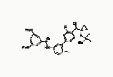 COc1cc(OC)cc(C(=O)Nc2ccc(C)c(-c3ccc(C(=O)C4(O[Si](C)(C)C(C)(C)C)CC4)c(F)n3)c2)c1